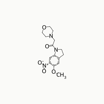 COc1cc2c(cc1[N+](=O)[O-])N(C(=O)CN1CCOCC1)CC2